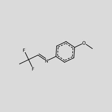 COc1ccc(/N=C/C(C)(F)F)cc1